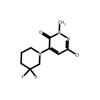 Cn1nc(Cl)cc(N2CCCC(F)(F)C2)c1=O